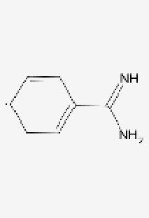 N=C(N)C1=CC[CH]C=C1